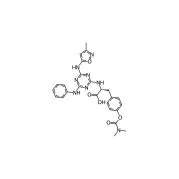 Cc1cc(Nc2nc(Nc3ccccc3)nc(N[C@@H](Cc3ccc(OC(=O)N(C)C)cc3)C(=O)O)n2)on1